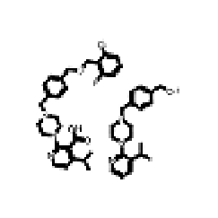 CC(C)c1cccnc1N1CCN(Cc2ccc(CO)cc2)CC1.CC(C)c1ccnc(N2CCN(Cc3ccc(COCc4c(F)cccc4Cl)cc3)CC2)c1C(=O)O